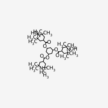 CC1(C)CC(C(=O)OC2CC(OC(=O)C3CC(C)(C)N(O)C(C)(C)C3)CC(OC(=O)C3CC(C)(C)N(O)C(C)(C)C3)C2)CC(C)(C)N1